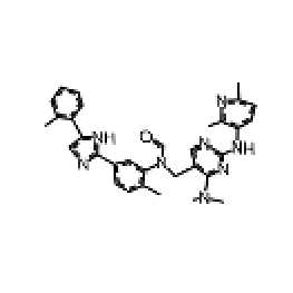 Cc1ccc(Nc2ncc(CN(C=O)c3cc(-c4ncc(-c5ccccc5C)[nH]4)ccc3C)c(N(C)C)n2)c(C)n1